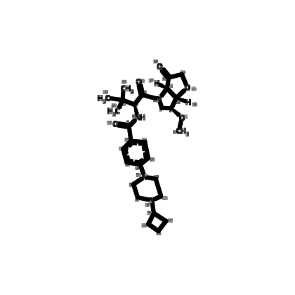 CO[C@H]1CN(C(=O)[C@@H](NC(=O)c2ccc(N3CCN(C4CCC4)CC3)cc2)C(C)(C)C)[C@@H]2C(=O)CO[C@H]12